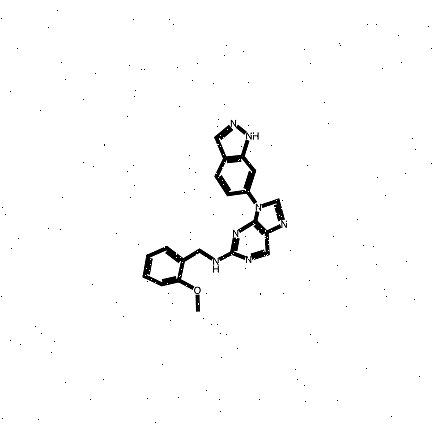 COc1ccccc1CNc1ncc2ncn(-c3ccc4cn[nH]c4c3)c2n1